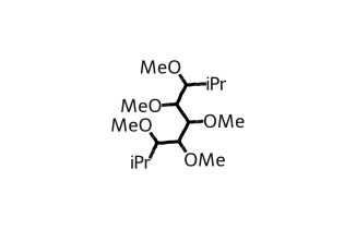 COC(C(C)C)C(OC)C(OC)C(OC)C(OC)C(C)C